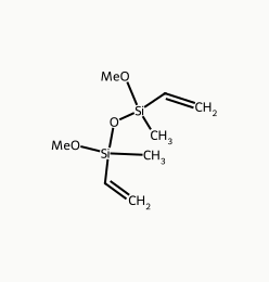 C=C[Si](C)(OC)O[Si](C)(C=C)OC